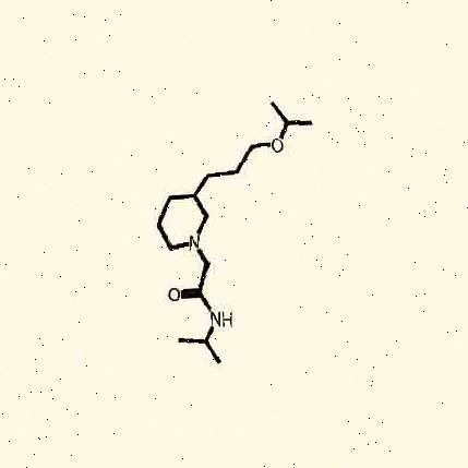 CC(C)NC(=O)CN1CCCC(CCCOC(C)C)C1